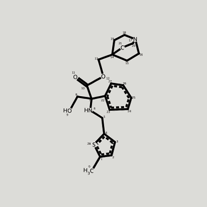 Cc1ccc(CNC(CO)(C(=O)OCC23CCN(CC2)CC3)c2ccccc2)s1